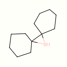 B1C2(CCCCC2)C12CCCCC2